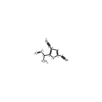 CC([S+]=O)c1sc(C#N)cc1C#N